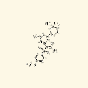 COc1ccc(S(=O)(=O)c2c(N)[nH]c3c(N4CCOC(C)(C)C4)nc(C)nc23)cc1